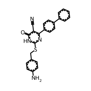 N#Cc1c(-c2ccc(-c3ccccc3)cc2)nc(SCc2ccc(N)cc2)[nH]c1=O